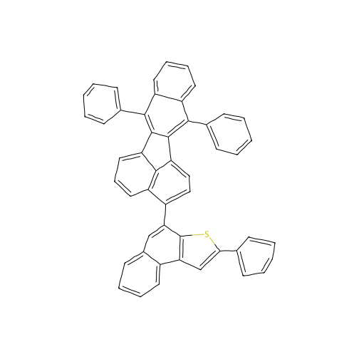 c1ccc(-c2cc3c(s2)c(-c2ccc4c5c(cccc25)-c2c-4c(-c4ccccc4)c4ccccc4c2-c2ccccc2)cc2ccccc23)cc1